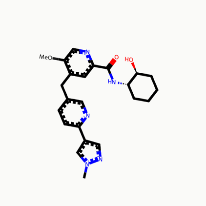 COc1cnc(C(=O)N[C@H]2CCCC[C@@H]2O)cc1Cc1ccc(-c2cnn(C)c2)nc1